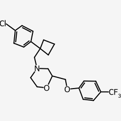 FC(F)(F)c1ccc(OCC2CN(CC3(c4ccc(Cl)cc4)CCC3)CCO2)cc1